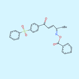 CCCCC(C=CC(=O)c1ccc(S(=O)(=O)c2ccccc2)cc1)=NOC(=O)c1ccccc1